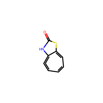 O=c1[nH]c2c(s1)=CC=CC=C=2